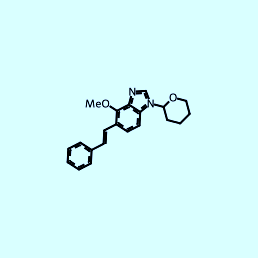 COc1c(C=Cc2ccccc2)ccc2c1ncn2C1CCCCO1